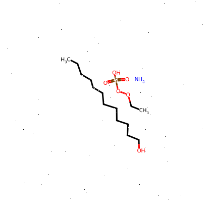 CCCCCCCCCCCCO.CCOOS(=O)(=O)O.N